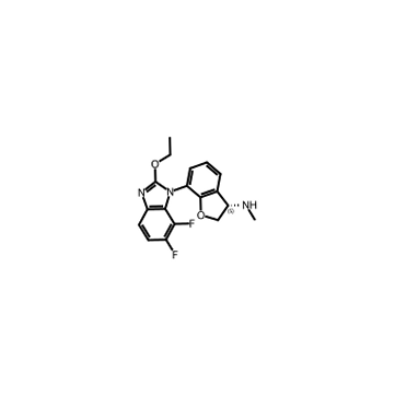 CCOc1nc2ccc(F)c(F)c2n1-c1cccc2c1OC[C@H]2NC